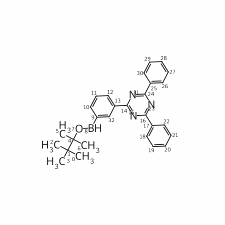 CC(C)(C)C(C)(C)OBc1cccc(-c2nc(-c3ccccc3)nc(-c3ccccc3)n2)c1